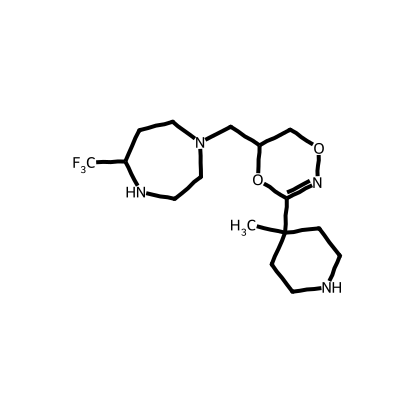 CC1(C2=NOCC(CN3CCNC(C(F)(F)F)CC3)O2)CCNCC1